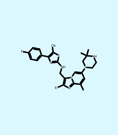 CCc1nc2c(C)cc(N3CCNC(C)(C)C3)cn2c1CNc1nc(-c2ccc(F)cc2)c(C#N)s1